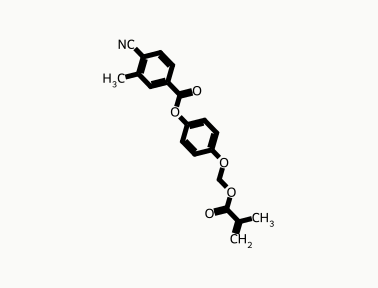 C=C(C)C(=O)OCOc1ccc(OC(=O)c2ccc(C#N)c(C)c2)cc1